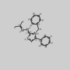 CC(C)=N/N=c1\scc(-c2ccccc2)n1Cc1ccccc1